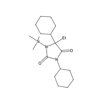 CCC1(C2CCCCC2)C(=O)N(C2CCCCC2)C(=O)N1[Si](C)(C)C